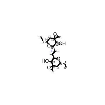 CC[C@@H]1CC2(CO2)[C@@H](O)C(/C=C/[C@@H]2O[C@H](CC)CC3(CO3)[C@H]2O)O1